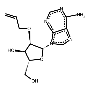 C=CCO[C@@H]1[C@H](O)[C@@H](CO)O[C@H]1n1cnc2c(N)ncnc21